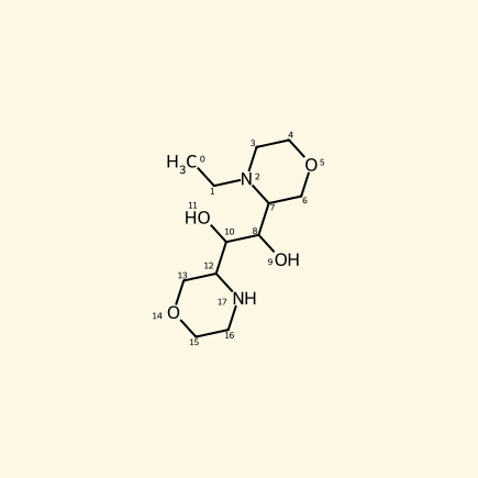 CCN1CCOCC1C(O)C(O)C1COCCN1